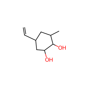 C=CC1CC(C)C(O)C(O)C1